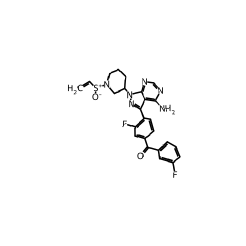 C=C[S+]([O-])N1CCCC(n2nc(-c3ccc(C(=O)c4cccc(F)c4)cc3F)c3c(N)ncnc32)C1